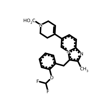 Cc1nc2ccc(C3=CCN(C(=O)O)CC3)cn2c1Cc1ccccc1OC(F)F